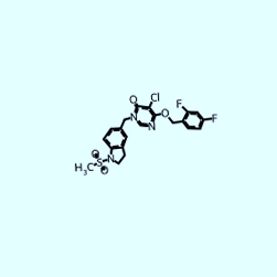 CS(=O)(=O)N1CCc2cc(Cn3cnc(OCc4ccc(F)cc4F)c(Cl)c3=O)ccc21